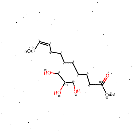 CCCCCCCC/C=C\CCCCCCCC(=O)OCC(C)C.OCC(O)CO